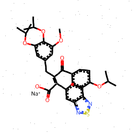 COc1cc(C/C(C(=O)c2ccc(OC(C)C)cc2)=C(\C(=O)[O-])c2ccc3nsnc3c2)cc(OC(C)C)c1OC(C)C.[Na+]